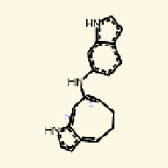 C1=c2cc[nH]/c2=C/C(Nc2ccc3cc[nH]c3c2)=C\CC1